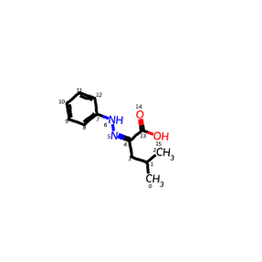 CC(C)CC(=NNc1ccccc1)C(=O)O